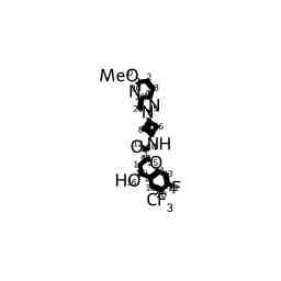 COc1ccc2nn(C34CC(NC(=O)[C@H]5C[C@@H](O)c6cc(C(F)(F)F)c(F)cc6O5)(C3)C4)cc2n1